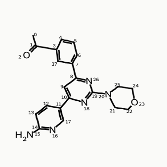 CC(=O)c1cccc(-c2cc(-c3ccc(N)nc3)nc(N3CCOCC3)n2)c1